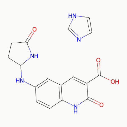 O=C1CCC(Nc2ccc3[nH]c(=O)c(C(=O)O)cc3c2)N1.c1c[nH]cn1